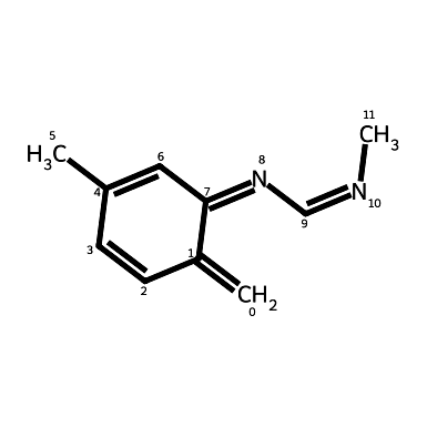 C=C1C=CC(C)=C/C1=N/C=N\C